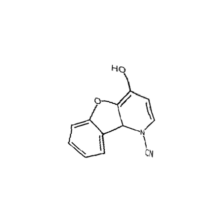 N#CN1C=CC(O)=C2Oc3ccccc3C21